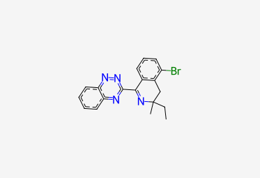 CCC1(C)Cc2c(Br)cccc2C(c2nnc3ccccc3n2)=N1